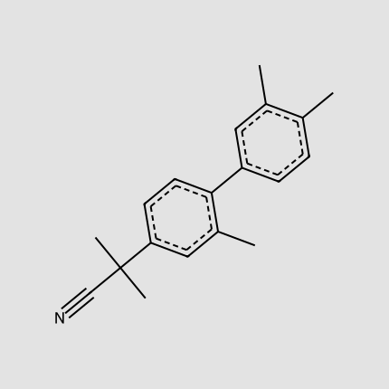 Cc1ccc(-c2ccc(C(C)(C)C#N)cc2C)cc1C